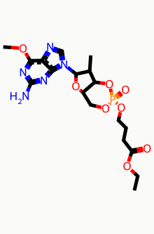 CCOC(=O)CCCOP1(=O)OCC2OC(n3cnc4c(OC)nc(N)nc43)C(C)C2O1